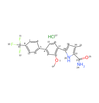 COc1cc(-c2ccc(C(F)(F)F)cc2)ccc1-c1cc(C)c(C(N)=O)[nH]1.Cl